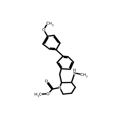 CNC1CCCN(C(=O)OC)C1Cc1cccc(-c2ccc(OC)cc2)c1